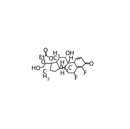 CCC(=O)O[C@@]1(C(=O)CO)[C@@H](C)C[C@H]2[C@@H]3C[C@H](F)C4=C(F)C(=O)C=C[C@]4(C)[C@H]3[C@@H](O)C[C@@]21C